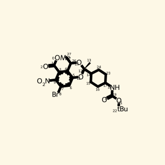 COC(=O)c1c2c(cc(Br)c1[N+](=O)[O-])O[C@@](C)(C1CCC(NC(=O)OC(C)(C)C)CC1)OC2C